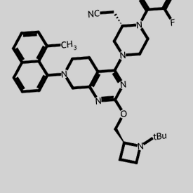 C=C(F)C(=O)N1CCN(c2nc(OC[C@@H]3CCN3C(C)(C)C)nc3c2CCN(c2cccc4cccc(C)c24)C3)C[C@@H]1CC#N